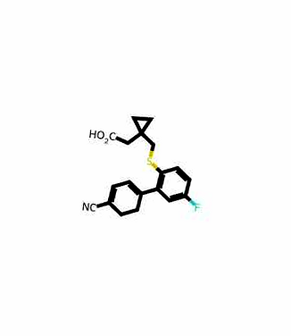 N#CC1=CC=C(c2cc(F)ccc2SCC2(CC(=O)O)CC2)CC1